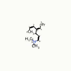 C/C=C\C(=C/CCC)C/C=C\N(C)C